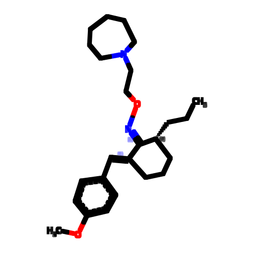 CCC[C@@H]1CCCC(=C\c2ccc(OC)cc2)/C1=N/OCCN1CCCCCC1